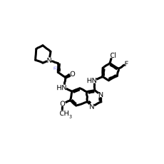 COc1cc2ncnc(Nc3ccc(F)c(Cl)c3)c2cc1NC(=O)/C=C/N1CCCCC1